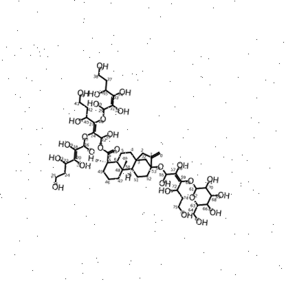 C=C1CC23CCC4[C@](C)(C(=O)OC(O)/C(OC(O)/C(O)=C(\O)C(O)CCO)=C(\OC(O)/C(O)=C(/O)C(O)CCO)C(O)CCO)CCC[C@@]4(C)[C@@H]2CCC1(OC(O)/C(O)=C(/OC1OC(CO)C(O)C(O)C1O)C(O)CCO)C3